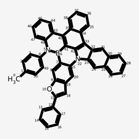 Cc1ccc(N2B3c4cc5oc(-c6ccccc6)cc5cc4-n4c5cc6ccccc6cc5c5c6ccccc6c(c3c54)-c3ccccc32)cc1